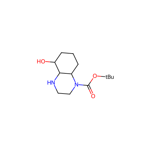 CC(C)(C)OC(=O)N1CCNC2C(O)CCCC21